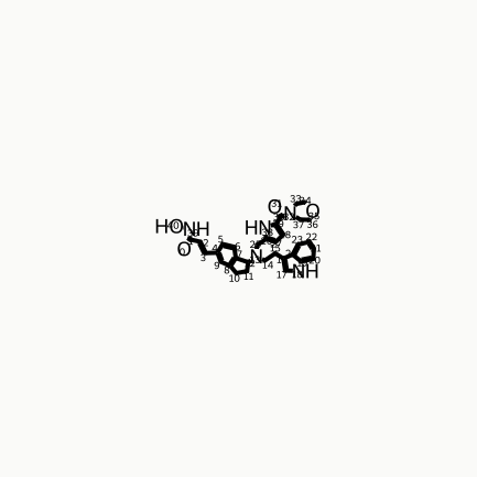 O=C(C=Cc1ccc2c(c1)CCC2N(CCc1c[nH]c2ccccc12)Cc1ccc(C(=O)N2CCOCC2)[nH]1)NO